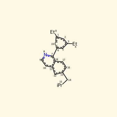 CCc1cc(CC)cc(-c2nccc3cc(CC(C)C)ccc23)c1